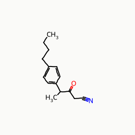 CCCCc1ccc(C(C)C(=O)CC#N)cc1